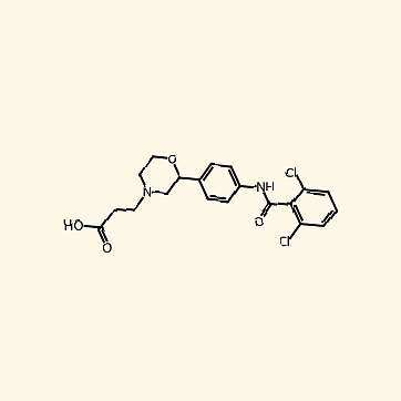 O=C(O)CCN1CCOC(c2ccc(NC(=O)c3c(Cl)cccc3Cl)cc2)C1